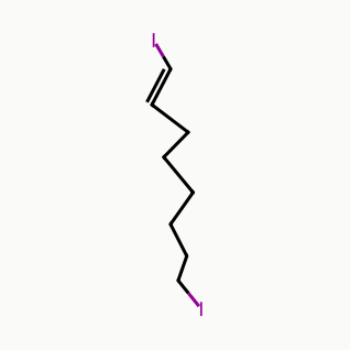 I/C=C/CCCCCCI